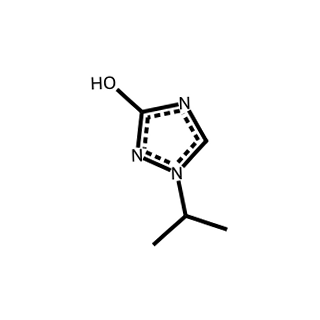 CC(C)n1cnc(O)n1